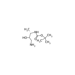 C[C@H](NC(=O)OC(C)(C)C)C(O)CN